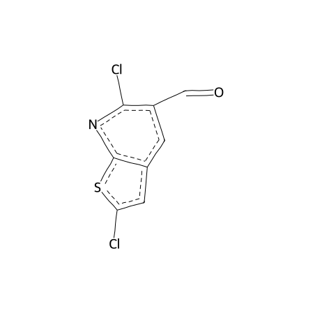 O=Cc1cc2cc(Cl)sc2nc1Cl